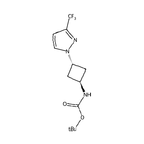 CC(C)(C)OC(=O)N[C@H]1C[C@H](n2ccc(C(F)(F)F)n2)C1